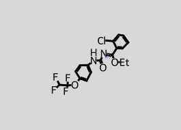 CCO/C(=N\C(=O)Nc1ccc(OC(F)(F)C(F)F)cc1)c1ccccc1Cl